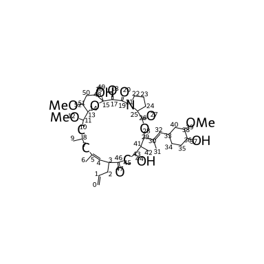 C=CCC1C=C(C)CC(C)CC(OC)C2OC(O)(C(=O)C(=O)N3CCCC3C(=O)OC(C(C)=CC3CCC(O)C(OC)C3)C(C)C(O)CC1=O)C(C)CC2OC